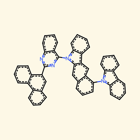 c1cc(-n2c3ccccc3c3ccccc32)c2cc3c4ccccc4n(-c4nc(-c5cc6ccccc6c6ccccc56)nc5ccccc45)c3cc2c1